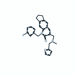 CN(Cc1ccco1)Cc1cc2cc3c(cc2n(Cc2cccc(F)c2)c1=O)CCC3